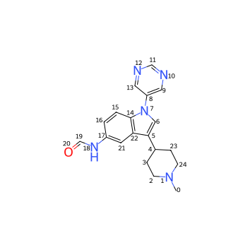 CN1CCC(c2cn(-c3cncnc3)c3ccc(NC=O)cc23)CC1